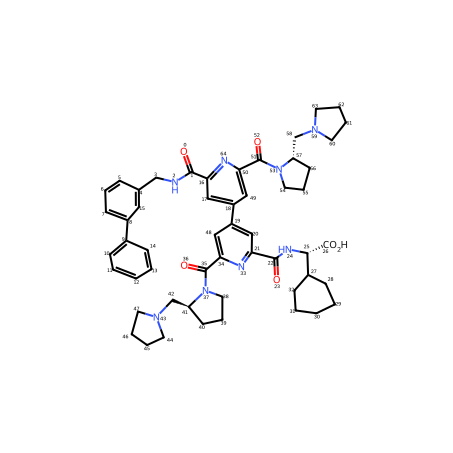 O=C(NCc1cccc(-c2ccccc2)c1)c1cc(-c2cc(C(=O)N[C@H](C(=O)O)C3CCCCC3)nc(C(=O)N3CCC[C@H]3CN3CCCC3)c2)cc(C(=O)N2CCC[C@H]2CN2CCCC2)n1